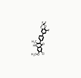 COc1cc2[nH]c(C)c(-c3ccc(-c4cc(F)c(OC(F)(F)F)c(F)c4)cc3)c(=O)c2cc1Cl